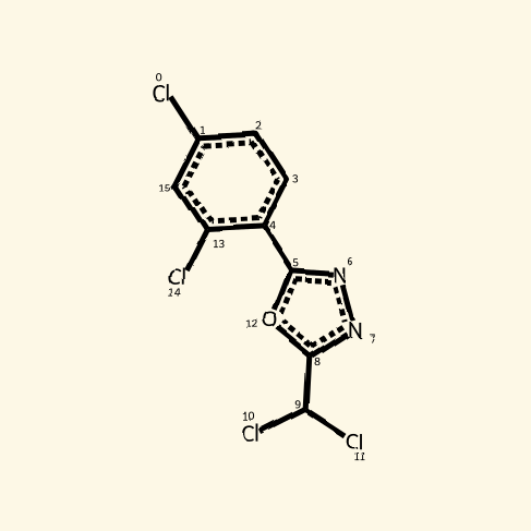 Clc1ccc(-c2nnc(C(Cl)Cl)o2)c(Cl)c1